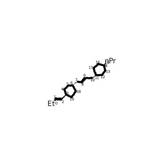 CCC=C[C@H]1CC[C@H](CC=CC[C@H]2CC[C@H](CCC)CC2)CC1